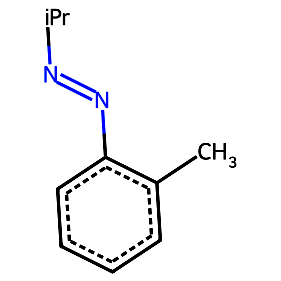 Cc1ccccc1N=NC(C)C